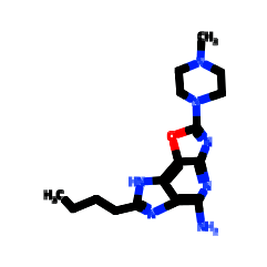 CCCCc1nc2c(N)nc3nc(N4CCN(C)CC4)oc3c2[nH]1